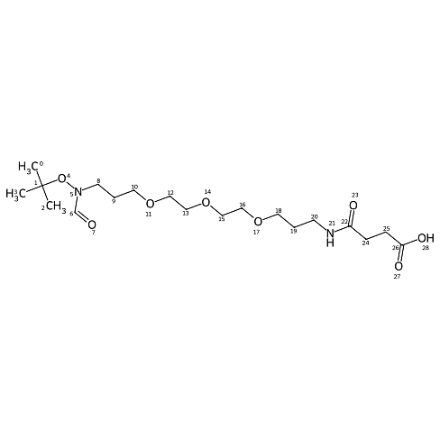 CC(C)(C)ON(C=O)CCCOCCOCCOCCCNC(=O)CCC(=O)O